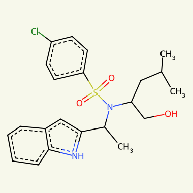 CC(C)CC(CO)N(C(C)c1cc2ccccc2[nH]1)S(=O)(=O)c1ccc(Cl)cc1